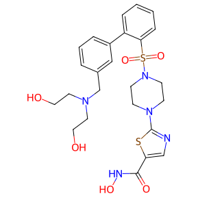 O=C(NO)c1cnc(N2CCN(S(=O)(=O)c3ccccc3-c3cccc(CN(CCO)CCO)c3)CC2)s1